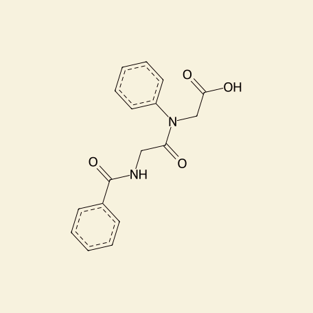 O=C(O)CN(C(=O)CNC(=O)c1ccccc1)c1ccccc1